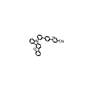 N#Cc1ccc(-c2ccc(-c3cccc(-n4c5ccccc5c5c6oc7ccccc7c6ccc54)c3)cc2)nc1